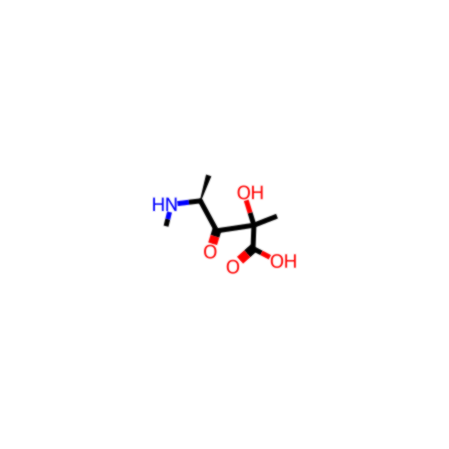 CN[C@@H](C)C(=O)C(C)(O)C(=O)O